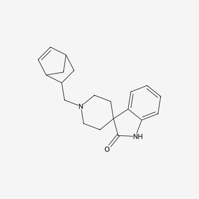 O=C1Nc2ccccc2C12CCN(CC1CC3C=CC1C3)CC2